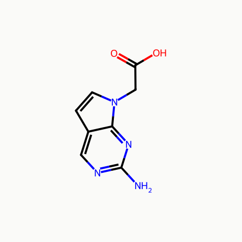 Nc1ncc2ccn(CC(=O)O)c2n1